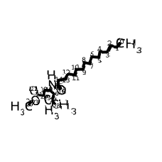 CCCCCCCCCCCCCCCC(=O)NC(CCC(=O)OCC)CC(C)C